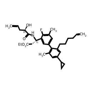 C=CCCCCc1cc(C2CC2)cc(C)c1-c1cc(C)c(F)c([C@H](CC(=O)OCC)NC(=O)[C@H](O)CC=C)c1